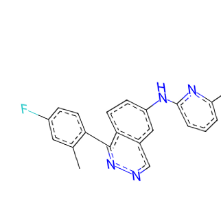 Cc1cccc(Nc2ccc3c(-c4ccc(F)cc4C)nncc3c2)n1